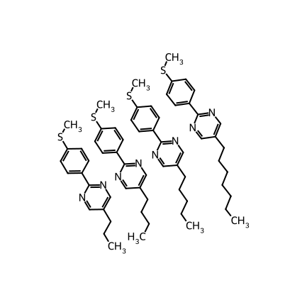 CCCCCCCc1cnc(-c2ccc(SC)cc2)nc1.CCCCCc1cnc(-c2ccc(SC)cc2)nc1.CCCCc1cnc(-c2ccc(SC)cc2)nc1.CCCc1cnc(-c2ccc(SC)cc2)nc1